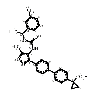 Cc1onc(-c2ccc(-c3ccc(C4(C(=O)O)CC4)cc3)cc2)c1NC(=O)OC(C)c1cccc(C(F)(F)F)c1